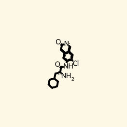 N[C@@H](CC1CCCCC1)C(=O)Nc1cc2c(cc1Cl)=C[N]C(=O)C=2